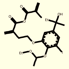 C=C(C)C(=O)OC(=O)C(=C)CCOc1cc(C(C)(O)CC)cc(I)c1OC(C)OCC